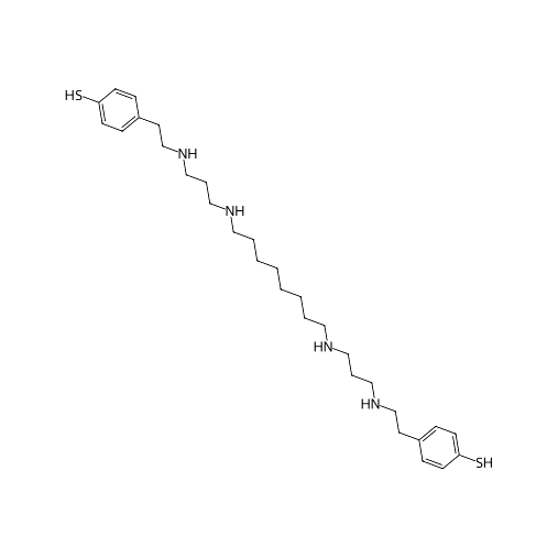 Sc1ccc(CCNCCCNCCCCCCCCNCCCNCCc2ccc(S)cc2)cc1